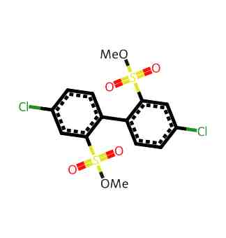 COS(=O)(=O)c1cc(Cl)ccc1-c1ccc(Cl)cc1S(=O)(=O)OC